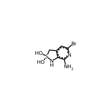 Nc1nc(Br)cc2c1NS(O)(O)C2